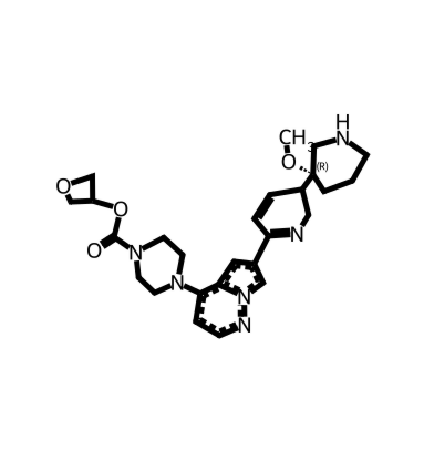 CO[C@@]1(C2C=CC(c3cc4c(N5CCN(C(=O)OC6COC6)CC5)ccnn4c3)=NC2)CCCNC1